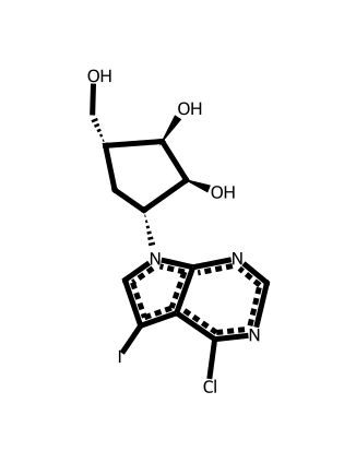 OC[C@H]1C[C@@H](n2cc(I)c3c(Cl)ncnc32)[C@H](O)[C@@H]1O